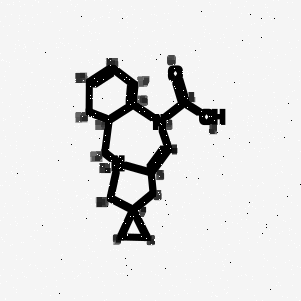 O=C(O)N1C=C2CC3(CC3)CN2CC2CC=CC=C21